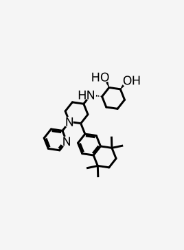 CC1(C)CCC(C)(C)c2cc(C3CC(N[C@H]4CCC[C@H](O)[C@@H]4O)CCN3c3ccccn3)ccc21